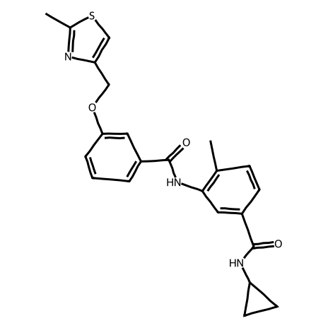 Cc1nc(COc2cccc(C(=O)Nc3cc(C(=O)NC4CC4)ccc3C)c2)cs1